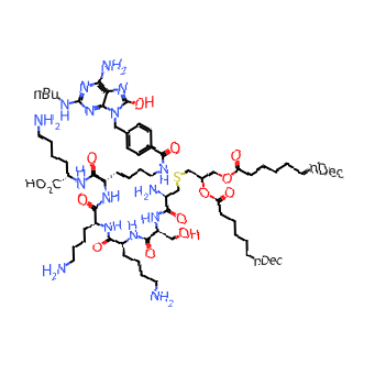 CCCCCCCCCCCCCCCC(=O)OCC(CSC[C@H](N)C(=O)N[C@@H](CO)C(=O)N[C@@H](CCCCN)C(=O)N[C@@H](CCCCN)C(=O)N[C@@H](CCCCNC(=O)c1ccc(Cn2c(O)nc3c(N)nc(NCCCC)nc32)cc1)C(=O)N[C@@H](CCCCN)C(=O)O)OC(=O)CCCCCCCCCCCCCCC